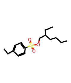 CCCCC(CC)COS(=O)(=O)c1ccc(CC)cc1